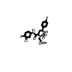 COCCN1C(C(=O)Nc2ccc(F)c(Cl)c2)CC(c2ccc(F)cc2)NS1(=O)=O